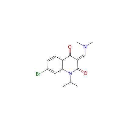 CC(C)N1C(=O)/C(=C/N(C)C)C(=O)c2ccc(Br)cc21